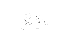 COC1(C)CCN(Cc2cccc(S(=O)(=O)N3CCOCC3)c2)C1